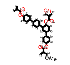 C=C(C)C(=O)Oc1ccc(-c2ccc(-c3cc(-c4ccc(OC(=O)C(=C)COC)cc4)ccc3OC(=O)C(=C)CO)cc2)cc1